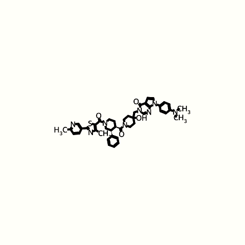 Cc1ccc(-c2nc(C)c(C(=O)N3CC[C@@H](C(=O)N4CCC(O)(Cn5cnc6c(ccn6-c6ccc(N(C)C)cc6)c5=O)CC4)[C@H](c4ccccc4)C3)s2)cn1